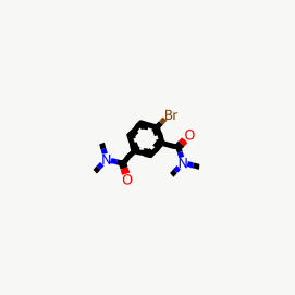 CN(C)C(=O)c1ccc(Br)c(C(=O)N(C)C)c1